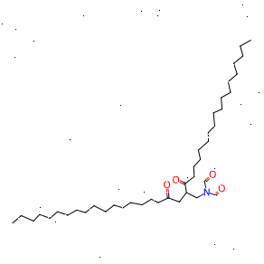 CCCCCCCCCCCCCCCCCC(=O)CC(CN(C=O)C=O)C(=O)CCCCCCCCCCCCCCCCC